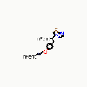 CCCCC/C=C/COc1ccc(CC(CCCCC)c2csc3nccn23)cc1